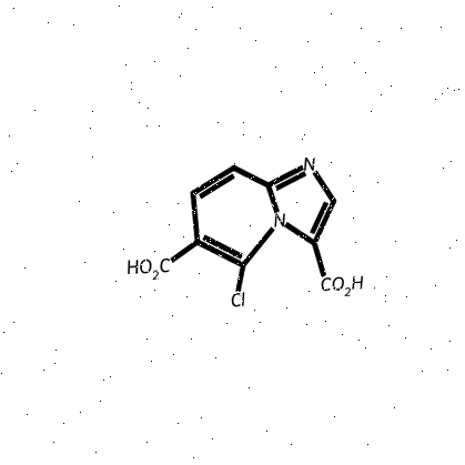 O=C(O)c1ccc2ncc(C(=O)O)n2c1Cl